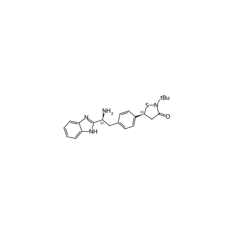 CC(C)(C)N1S[C@H](c2ccc(C[C@H](N)c3nc4ccccc4[nH]3)cc2)CC1=O